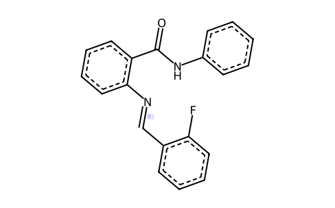 O=C(Nc1ccccc1)c1ccccc1/N=C/c1ccccc1F